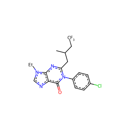 CCn1cnc2c(=O)n(-c3ccc(Cl)cc3)c(CC(C)CC(F)(F)F)nc21